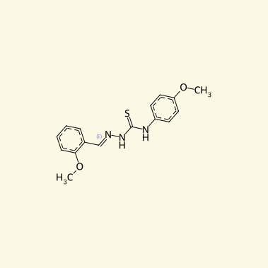 COc1ccc(NC(=S)N/N=C/c2ccccc2OC)cc1